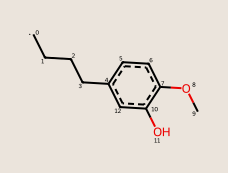 [CH2]CCCc1ccc(OC)c(O)c1